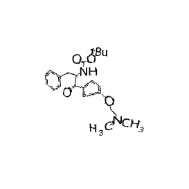 CN(C)CCOc1ccc(C(=O)C(Cc2ccccc2)NC(=O)OC(C)(C)C)cc1